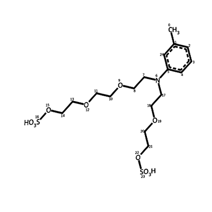 Cc1cccc(N(CCOCCOCCOS(=O)(=O)O)CCOCCOS(=O)(=O)O)c1